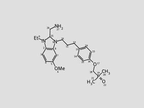 CCN1c2ccc(OC)cc2N(CCCc2ccc(OCP(C)(C)=O)cc2)C1CN